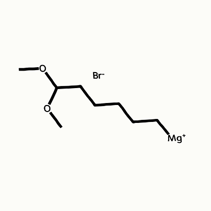 COC(CCCC[CH2][Mg+])OC.[Br-]